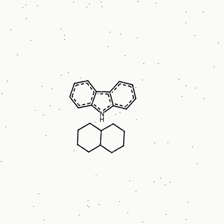 C1CCC2CCCCC2C1.c1ccc2c(c1)[nH]c1ccccc12